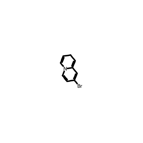 BrC1=CC2=CCC=CN2C=C1